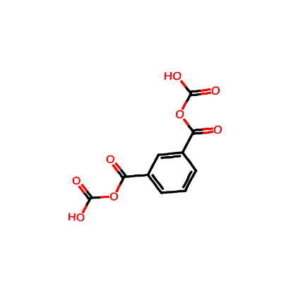 O=C(O)OC(=O)c1cccc(C(=O)OC(=O)O)c1